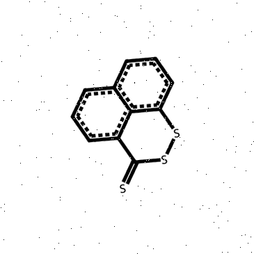 S=C1SSc2cccc3cccc1c23